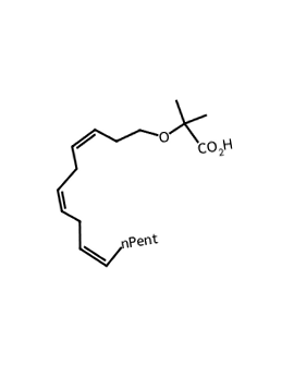 CCCCC/C=C\C/C=C\C/C=C\CCOC(C)(C)C(=O)O